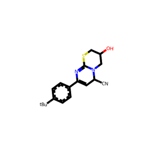 CC(C)(C)c1ccc(C2=CC(C#N)N3CC(O)CSC3=N2)cc1